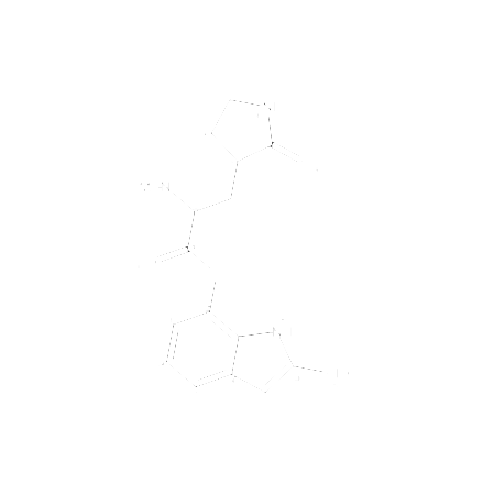 CNC(CC1CCNC1=O)C(=O)Oc1cccc2cc(C=O)[nH]c12